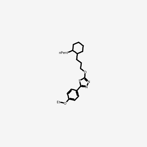 CCCCCC1CCCCC1CCCOc1nnc(-c2ccc(OCC)cc2)s1